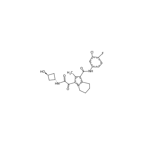 Cc1c(C(=O)Nc2ccc(F)c(Cl)c2)c2n(c1C(=O)C(=O)N[C@H]1C[C@H](O)C1)CCCC2